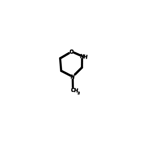 CN1CCONC1